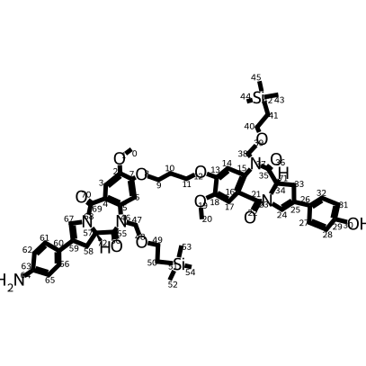 COc1cc2c(cc1OCCCOc1cc3c(cc1OC)C(=O)N1C=C(c4ccc(O)cc4)C[C@H]1C(=O)N3COCC[Si](C)(C)C)N(COCC[Si](C)(C)C)C(=O)[C@@H]1CC(c3ccc(N)cc3)=CN1C2=O